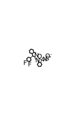 C[S+]([O-])N1CC2(C1)C(=O)N(Cc1ncc3ccccc3c1-c1ccc(F)c(F)c1)c1ccccc12